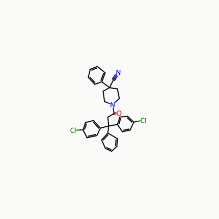 N#CC1(c2ccccc2)CCN(C(=O)CC(c2ccccc2)(c2ccc(Cl)cc2)c2ccc(Cl)cc2)CC1